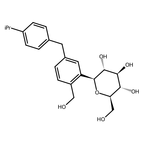 CC(C)c1ccc(Cc2ccc(CO)c([C@@H]3O[C@H](CO)[C@@H](O)[C@H](O)[C@H]3O)c2)cc1